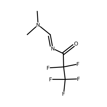 CN(C)C=NC(=O)C(F)(F)C(F)(F)F